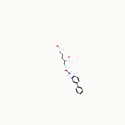 O=C(O)NCCCC(CNC(=O)c1nc2cc(-c3ccc(F)cc3)ccc2[nH]1)NC(=O)O